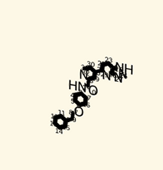 O=C(Nc1ccc(OCCc2ccccc2)cc1)c1cc(-c2ccc3[nH]nnc3n2)ccn1